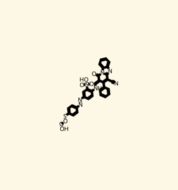 N#Cc1c(-c2ccccc2)/c(=C\Nc2ccc(N=Nc3ccc(SOOO)cc3)cc2S(=O)(=O)O)c(=O)n2c1nc1ccccc12